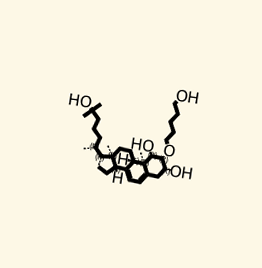 C[C@H](CCCC(C)(C)O)[C@H]1CC[C@H]2C3=CC=C4C[C@@H](O)[C@@H](OCCCCCO)[C@H](O)[C@]4(C)[C@H]3CC[C@]12C